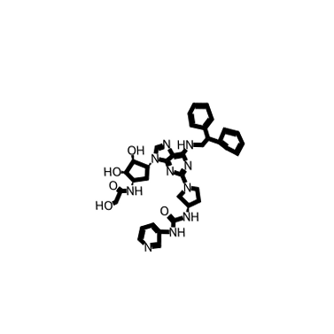 O=C(CO)N[C@H]1C[C@@H](n2cnc3c(NCC(c4ccccc4)c4ccccc4)nc(N4CC[C@@H](NC(=O)Nc5cccnc5)C4)nc32)[C@H](O)[C@@H]1O